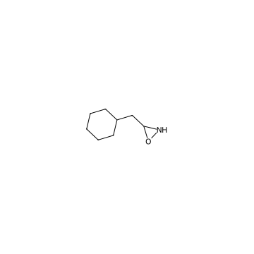 C1CCC(CC2NO2)CC1